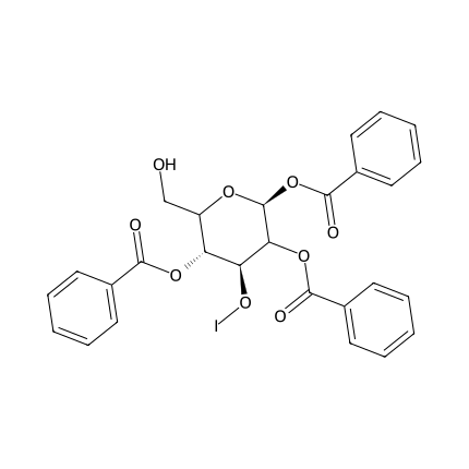 O=C(OC1[C@H](OC(=O)c2ccccc2)OC(CO)[C@@H](OC(=O)c2ccccc2)[C@@H]1OI)c1ccccc1